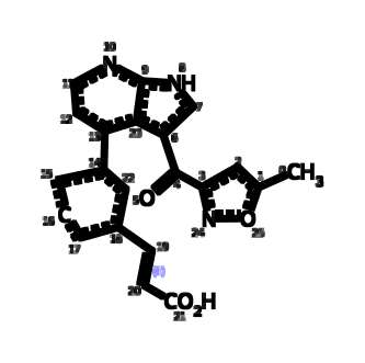 Cc1cc(C(=O)c2c[nH]c3nccc(-c4cccc(/C=C/C(=O)O)c4)c23)no1